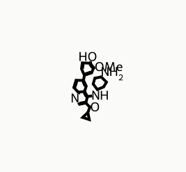 COc1cc(-c2ccc3ncc(C(=O)C4CC4)c(N[C@H]4CC[C@H](N)CC4)c3c2)ccc1O